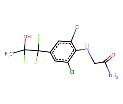 NC(=O)CNc1c(Cl)cc(C(F)(F)C(O)(F)C(F)(F)F)cc1Cl